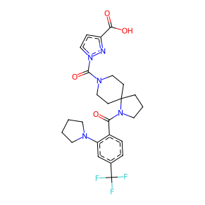 O=C(O)c1ccn(C(=O)N2CCC3(CCCN3C(=O)c3ccc(C(F)(F)F)cc3N3CCCC3)CC2)n1